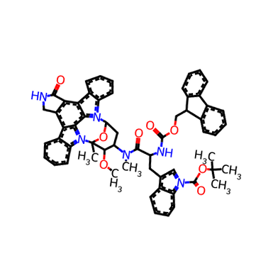 COC1C(N(C)C(=O)C(Cc2cn(C(=O)OC(C)(C)C)c3ccccc23)NC(=O)OCC2c3ccccc3-c3ccccc32)CC2OC1(C)n1c3ccccc3c3c4c(c5c6ccccc6n2c5c31)C(=O)NC4